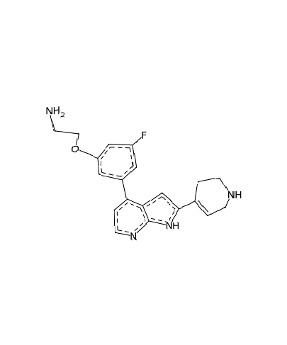 NCCOc1cc(F)cc(-c2ccnc3[nH]c(C4=CCNCC4)cc23)c1